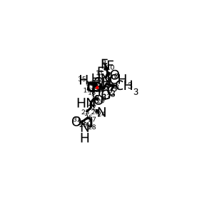 CC(C)(C)[C@H](NC(=O)C(F)(F)F)C(=O)N1C[C@H]2C[C@@]1(C(=O)N[C@H](C#N)C[C@@H]1CCNC1=O)C2(C)C